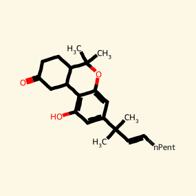 CCCCC/C=C/C(C)(C)c1cc(O)c2c(c1)OC(C)(C)C1CCC(=O)CC21